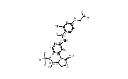 CC(C)COc1ccc([C@H](C)Nc2nccc(N3C(=O)OCC3[C@@H](C)OC(C)(C)C)n2)c(F)c1